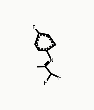 C/C(=N\c1ccc(F)cc1)C(F)F